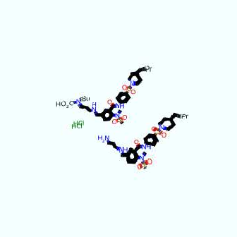 CC(C)CC1CCN(S(=O)(=O)c2ccc(NC(=O)c3cc(CNCCCN(C(=O)O)C(C)(C)C)ccc3N(C)S(C)(=O)=O)cc2)CC1.CC(C)CC1CCN(S(=O)(=O)c2ccc(NC(=O)c3cc(CNCCCN)ccc3N(C)S(C)(=O)=O)cc2)CC1.Cl.Cl